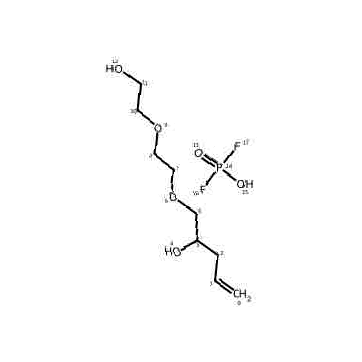 C=CCC(O)COCCOCCO.O=P(O)(F)F